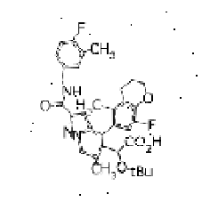 Cc1cc(CNC(=O)c2cc3c(-c4cc(F)c5c(c4C)CCCO5)c([C@H](OC(C)(C)C)C(=O)O)c(C)cn3n2)ccc1F